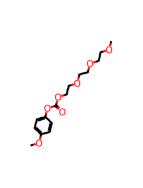 COCCOCCOCCOC(=O)Oc1ccc(OC)cc1